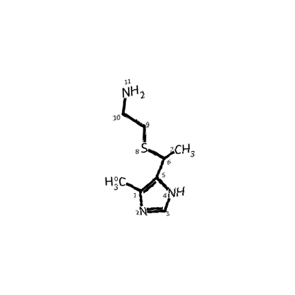 Cc1nc[nH]c1C(C)SCCN